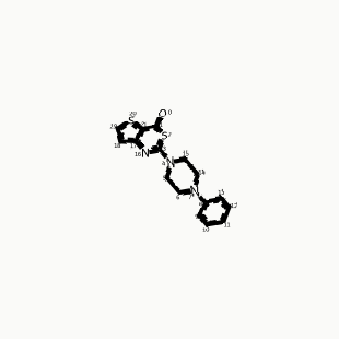 O=c1sc(N2CCN(c3ccccc3)CC2)nc2ccsc12